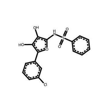 O=S(=O)(Nc1oc(-c2cccc(Cl)c2)c(O)c1O)c1ccccc1